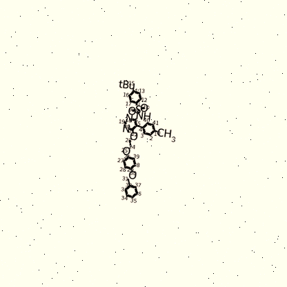 Cc1ccc(-c2c(NS(=O)(=O)c3ccc(C(C)(C)C)cc3)ncnc2OCCOc2ccc(OCc3ccccc3)cc2)cc1